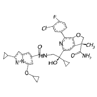 C[C@]1(C(N)=O)COc2c1cc([C@@](O)(CNC(=O)c1cc(OC3CC3)n3nc(C4CC4)cc3c1)C1CC1)nc2-c1ccc(F)c(Cl)c1